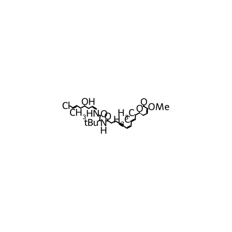 COC1=CC[C@@H]([C@@H](C)/C=C(C)/C=C\C#CCCC(=O)NC(C(=O)N/C=C\C[C@@H](O)C/C=C(\C)Cl)C(C)(C)C)OC1=O